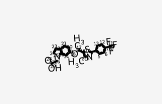 Cc1nc(-c2ccc(C(F)(F)F)cc2)sc1[C@@H](C)Oc1ccc2ccn(CC(=O)O)c2c1